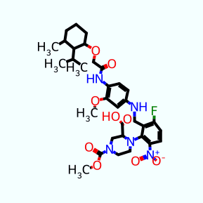 COC(=O)N1CCN(c2c([N+](=O)[O-])ccc(F)c2CNc2ccc(NC(=O)COC3CCCC(C)C3C(C)C)c(OC)c2)C(C(=O)O)C1